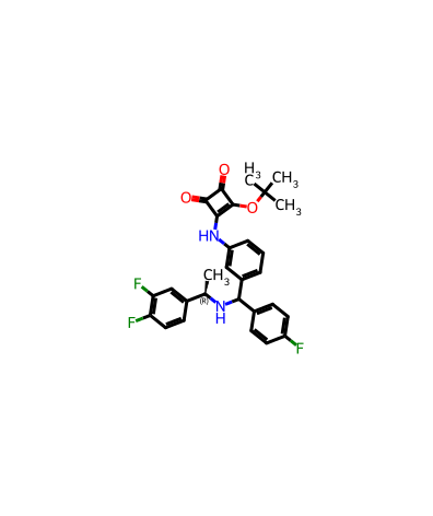 C[C@@H](NC(c1ccc(F)cc1)c1cccc(Nc2c(OC(C)(C)C)c(=O)c2=O)c1)c1ccc(F)c(F)c1